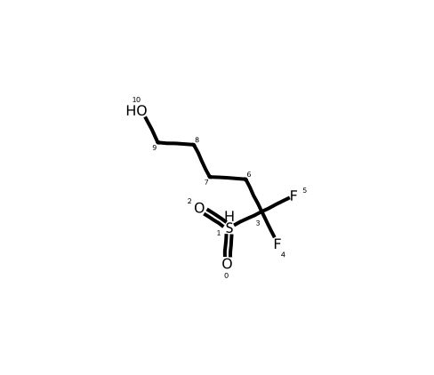 O=[SH](=O)C(F)(F)CCCCO